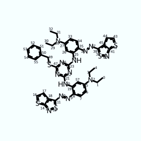 CCN(CC)c1ccc(/N=N/c2snc3sccc23)c(Nc2nc(Nc3cc(N(CC)CC)ccc3/N=N/c3snc4sccc34)nc(SCc3ccccc3)n2)c1